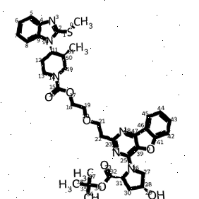 CSc1nc2ccccc2n1[C@H]1CCN(C(=O)OCCOCCc2nc(N3C[C@@H](O)C[C@H]3C(=O)OC(C)(C)C)c3oc4ccccc4c3n2)C[C@@H]1C